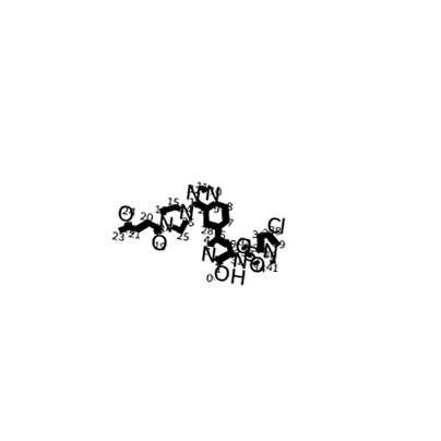 COc1ncc(-c2ccc3ncnc(N4CCN(C(=O)/C=C/C(C)=O)CC4)c3c2)cc1NS(=O)(=O)c1cc(Cl)cn1C